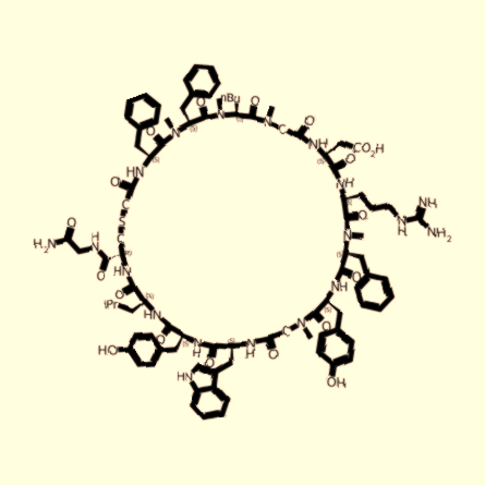 CCCC[C@H]1C(=O)N(C)CC(=O)N[C@@H](CC(=O)O)C(=O)N[C@@H](CCCNC(=N)N)C(=O)N(C)[C@@H](Cc2ccccc2)C(=O)N[C@@H](Cc2ccc(O)cc2)C(=O)N(C)CC(=O)N[C@@H](Cc2c[nH]c3ccccc23)C(=O)N[C@@H](Cc2ccc(O)cc2)C(=O)N[C@@H](CC(C)C)C(=O)N[C@H](C(=O)NCC(N)=O)CSCC(=O)N[C@@H](Cc2ccccc2)C(=O)N(C)[C@@H](Cc2ccccc2)C(=O)N1C